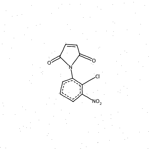 O=C1C=CC(=O)N1c1cccc([N+](=O)[O-])c1Cl